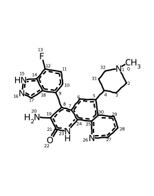 CN1CCC(c2cc3c(-c4ccc(F)c5[nH]ncc45)c(N)c(=O)[nH]c3c3ncccc23)CC1